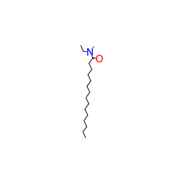 CCCCCCCCCCCCCCC(=O)N(C)CC